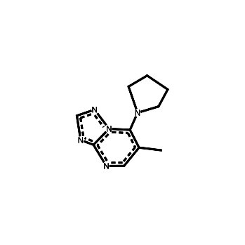 Cc1cnc2ncnn2c1N1CCCC1